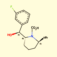 CCC[C@H]1CCC[C@H]([C@@H](O)c2cccc(F)c2)N1C(=O)O